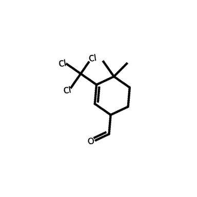 CC1(C)CCC(C=O)C=C1C(Cl)(Cl)Cl